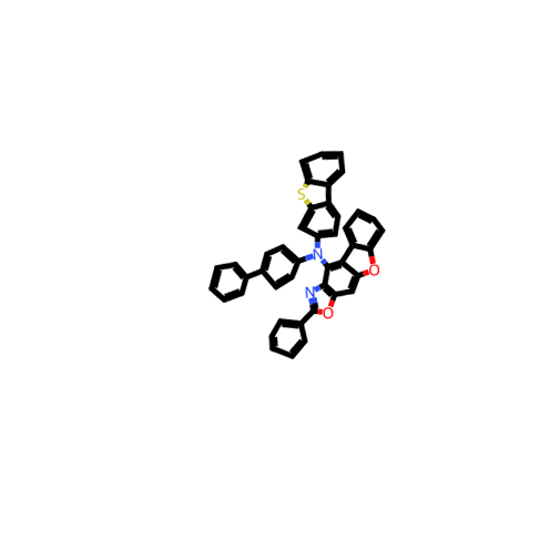 c1ccc(-c2ccc(N(c3ccc4c(c3)sc3ccccc34)c3c4nc(-c5ccccc5)oc4cc4oc5ccccc5c34)cc2)cc1